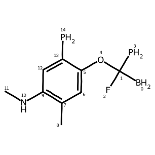 BC(F)(P)Oc1cc(C)c(NC)cc1P